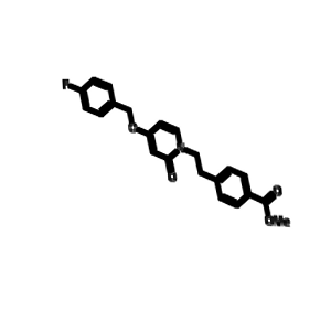 COC(=O)c1ccc(CCn2ccc(OCc3ccc(F)cc3)cc2=O)cc1